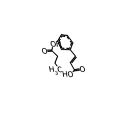 CCCC(=O)O.O=C(O)C=Cc1ccccc1